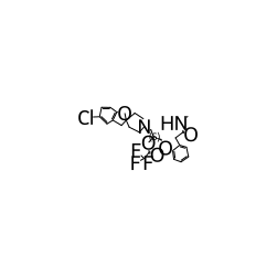 CNC(=O)Cc1ccccc1OC[C@H](CN1CCC2(CC1)Cc1cc(Cl)ccc1O2)OC(=O)C(F)(F)F